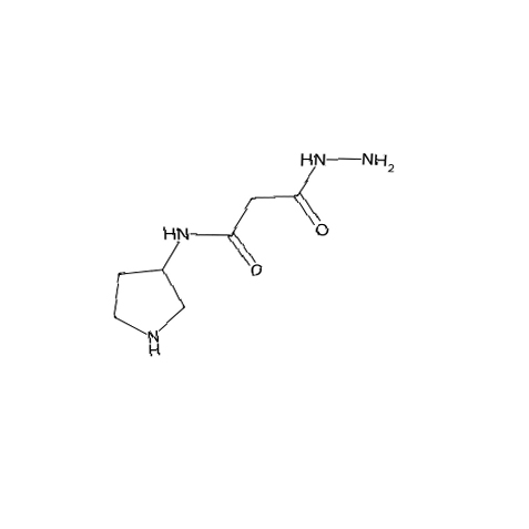 NNC(=O)CC(=O)NC1CCNC1